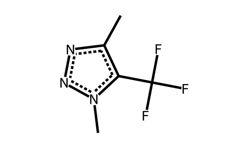 Cc1nnn(C)c1C(F)(F)F